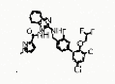 Cn1ccc(C(=O)Nn2c(NCc3ccc(-c4cc(Cl)cc(Cl)c4OCC(F)F)cc3F)nc3ccccc32)n1